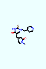 Cn1ccc(Cc2cn(CCc3ccncc3)c(=S)[nH]c2=O)cc1=O